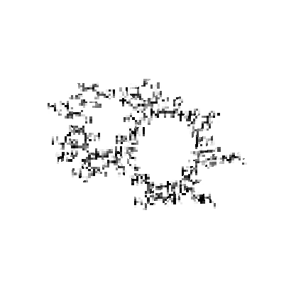 CC(C)C[C@@H]1NC(=O)[C@@H](Cc2ccccc2)NC(=O)[C@H](CCN)NC(=O)[C@@H](NC(=O)C(CN)NC(=O)[C@@H](NC(=O)C[C@H](CN)c2cccc(Cl)c2)[C@@H](C)O)CCNC(=O)[C@H]([C@@H](C)O)NC(=O)[C@H](CCN)NC(=O)[C@H](CCN)NC1=O